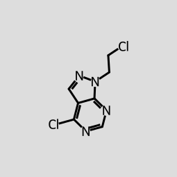 ClCCn1ncc2c(Cl)ncnc21